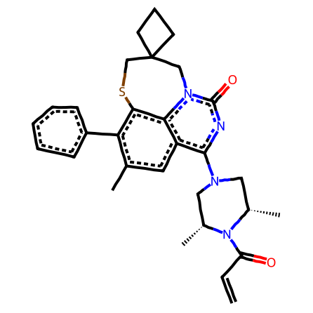 C=CC(=O)N1[C@H](C)CN(c2nc(=O)n3c4c(c(-c5ccccc5)c(C)cc24)SCC2(CCC2)C3)C[C@@H]1C